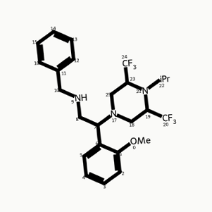 COc1ccccc1C(CNCc1ccccc1)N1CC(C(F)(F)F)N(C(C)C)C(C(F)(F)F)C1